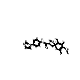 COC1=C(C)CC(CCC(=O)Nc2ccc(-n3ccnc3)cc2)(OC)C(C)=C1C